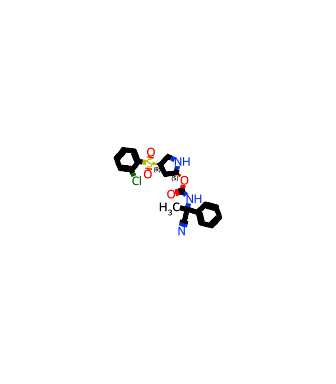 CC(C#N)(NC(=O)O[C@H]1C[C@@H](S(=O)(=O)c2ccccc2Cl)CN1)c1ccccc1